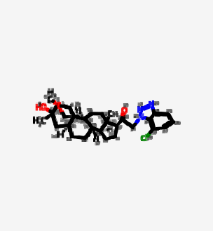 COC[C@]12CC[C@@](C)(O)C[C@@H]1CC[C@H]1[C@@H]3CC[C@H](C(=O)Cn4nnc5cccc(Cl)c54)[C@@]3(C)CC[C@@H]12